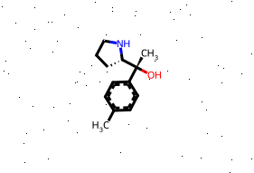 Cc1ccc([C@@](C)(O)[C@@H]2CCCN2)cc1